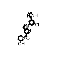 O=C(c1cnc2c(ccn2-c2cc(Cl)cc(-c3nnc[nH]3)c2)c1)N1CCC[C@@H](O)C1